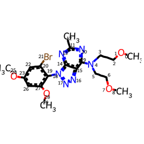 COCCN(CCOC)c1nc(C)nc2c1nnn2-c1c(Br)cc(OC)cc1OC